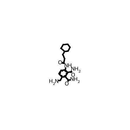 NCc1ccc(NC(=O)CCC2CCCCC2)c(C(N)=O)c1C(N)=O